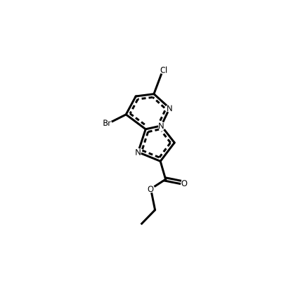 CCOC(=O)c1cn2nc(Cl)cc(Br)c2n1